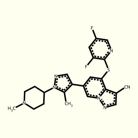 Cc1c(-c2cc(Sc3ncc(F)cc3F)c3c(C#N)cnn3c2)cnn1C1CCN(C)CC1